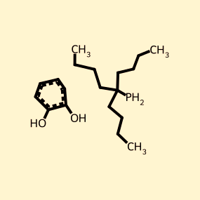 CCCCC(P)(CCCC)CCCC.Oc1ccccc1O